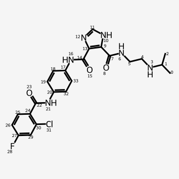 CC(C)NCCNC(=O)c1[nH]cnc1C(=O)Nc1ccc(NC(=O)c2ccc(F)cc2Cl)cc1